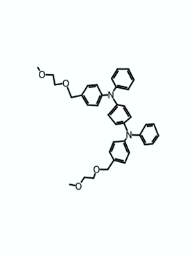 COCCOCc1ccc(N(c2ccccc2)c2ccc(N(c3ccccc3)c3ccc(COCCOC)cc3)cc2)cc1